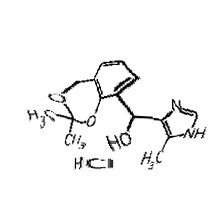 Cc1[nH]cnc1C(O)c1cccc2c1OC(C)(C)OC2.Cl